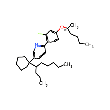 CCCCCC(CCC)C1(c2ccc(-c3ccc(O[C@@H](C)CCCC)cc3F)nc2)CCCCC1